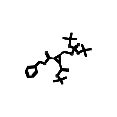 CC(C)(C)OC(=O)[C@@H]1[C@@H](COP(=O)(OC(C)(C)C)OC(C)(C)C)[C@H]1C(=O)OCc1ccccc1